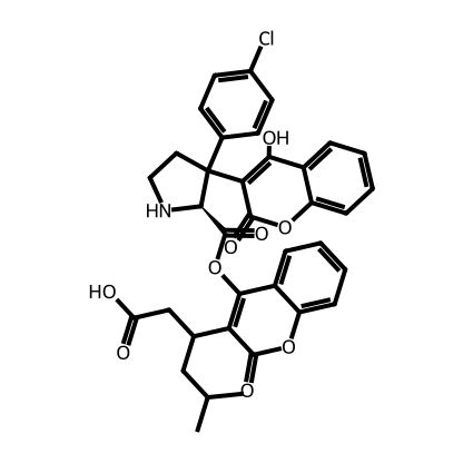 CC(C)CC(CC(=O)O)c1c(OC(=O)[C@H]2NCCC2(c2ccc(Cl)cc2)c2c(O)c3ccccc3oc2=O)c2ccccc2oc1=O